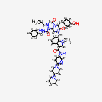 C=CCN1CC(=O)N2C(Cc3ccc(O)cc3)C(=O)N(Cc3cccc4c(C(=O)Nc5ccc(N6CCC(N7CCCCC7)CC6)nc5)cn(C)c34)CC2N1C(=O)NCc1ccccc1